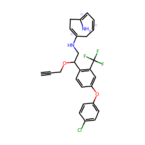 C#CCOC(CN/C1=C/C/C(N)=C/C=C\C1)c1ccc(Oc2ccc(Cl)cc2)cc1C(F)(F)F